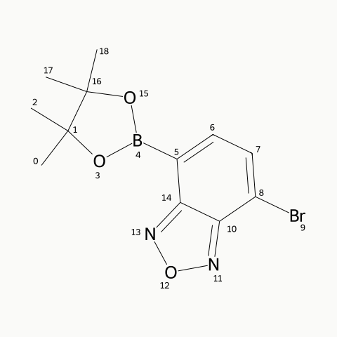 CC1(C)OB(c2ccc(Br)c3nonc23)OC1(C)C